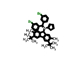 Cc1cc2c(cc1C(C)(C)C)-c1cc(C(C)(C)C)c(C)cc1[CH]2[Zr]([C]1=CC=CC1)=[C](c1cccc(Br)c1)c1cccc(Br)c1